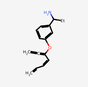 C=C=C(/C=C\C=C)Oc1cccc(C(N)CC)c1